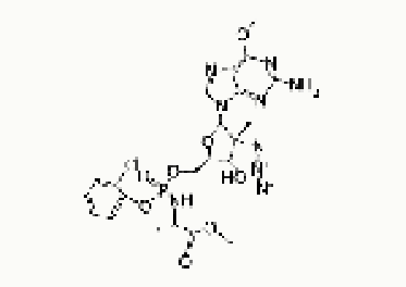 COC(=O)[C@H](C)NP(=O)(OC[C@H]1O[C@@H](n2cnc3c(OC)nc(N)nc32)[C@](C)(N=[N+]=[N-])[C@@H]1O)Oc1ccccc1Cl